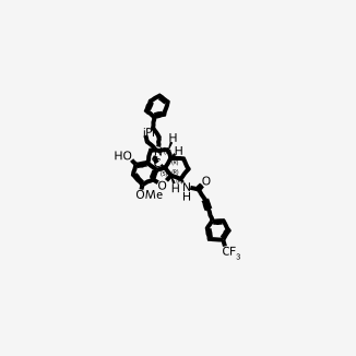 COc1cc(O)c2c3c1O[C@H]1[C@H](NC(=O)C#Cc4ccc(C(F)(F)F)cc4)CC[C@H]4[C@@H](C2)[N+](CCc2ccccc2)(CC(C)C)CC[C@@]341